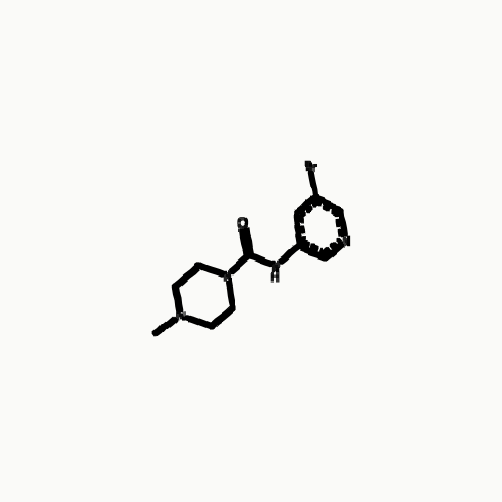 CN1CCN(C(=O)Nc2cncc(Br)c2)CC1